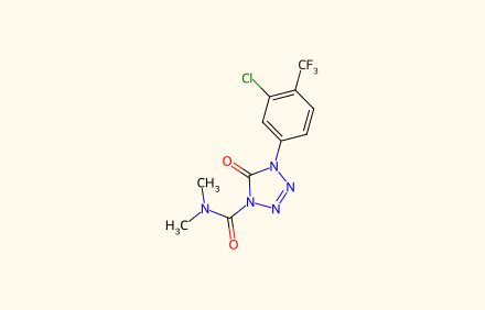 CN(C)C(=O)n1nnn(-c2ccc(C(F)(F)F)c(Cl)c2)c1=O